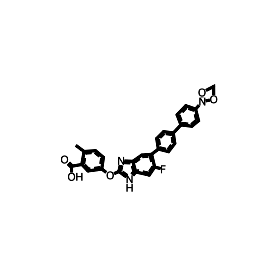 Cc1ccc(Oc2nc3cc(-c4ccc(-c5ccc(N6OCO6)cc5)cc4)c(F)cc3[nH]2)cc1C(=O)O